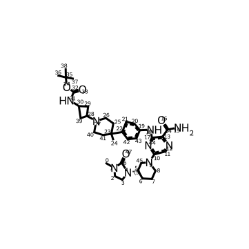 CN1CCN([C@H]2CCCN(c3cnc(C(N)=O)c(Nc4ccc(C5(C)CCN(C6CC(NC(=O)OC(C)(C)C)C6)CC5)cc4)n3)C2)C1=O